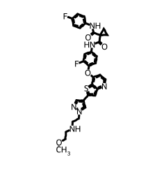 COCCNCCn1cc(-c2cc3nccc(Oc4ccc(NC(=O)C5(C(=O)Nc6ccc(F)cc6)CC5)cc4F)c3s2)cn1